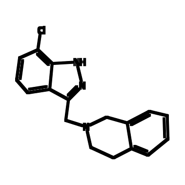 Clc1cccc2c(CN3CCc4ccccc4C3)n[nH]c12